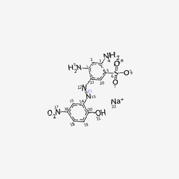 Nc1cc(N)c(S(=O)(=O)[O-])cc1/N=N/c1cc([N+](=O)[O-])ccc1O.[Na+]